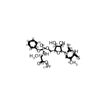 Cc1cn([C@H]2O[C@@H](COP(=O)(N[C@@H](C)C(=O)OC(C)C)Oc3ccccc3)[C@@H](O)C2C#N)c(=S)[nH]c1=S